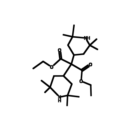 CCOC(=O)C(C(=O)OCC)(C1CC(C)(C)NC(C)(C)C1)C1CC(C)(C)NC(C)(C)C1